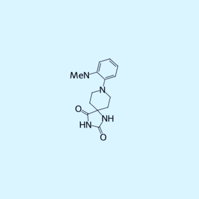 CNc1ccccc1N1CCC2(CC1)NC(=O)NC2=O